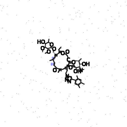 CC[C@H]1OC(=O)CC[C@H](C)[C@@H](O[C@@H]2OCC(C)C(O)C(N(C)C)C2O)[C@@H](CCn2cc(-c3cc(C)c(C)cc3C)nn2)C[C@@H](C)C(=O)/C=C/C(C)=C/[C@@H]1COC1OC(C)C(O)C(OC)C1OC